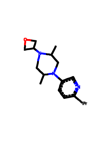 CC(C)c1ccc(N2CC(C)N(C3COC3)CC2C)cn1